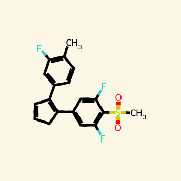 Cc1ccc(C2=C(c3cc(F)c(S(C)(=O)=O)c(F)c3)CC=C2)cc1F